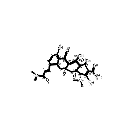 CN(C)C(=O)/C=C/c1ccc(O)c2c1C[C@@H]1C[C@@H]3[C@@H](N(C)C)C(O)=C(C(N)=O)C(=O)[C@]3(O)C(O)=C1C2=O